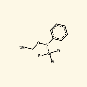 CC[Si](CC)(CC)[SiH](OCC(C)(C)C)c1ccccc1